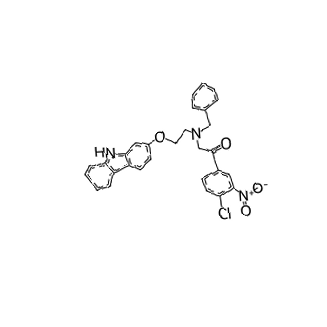 O=C(CN(CCOc1ccc2c(c1)[nH]c1ccccc12)Cc1ccccc1)c1ccc(Cl)c([N+](=O)[O-])c1